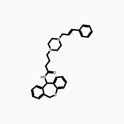 O=C(CCCN1CCN(C/C=C/c2ccccc2)CC1)NC1c2ccccc2CSc2ccccc21